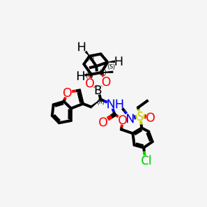 CCS(=O)(=NC)c1ccc(Cl)cc1COC(=O)N[C@@H](Cc1coc2ccccc12)B1O[C@@H]2C[C@@H]3C[C@@H](C3(C)C)[C@]2(C)O1